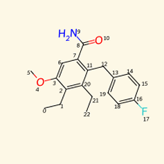 CCc1c(OC)cc(C(N)=O)c(Cc2ccc(F)cc2)c1CC